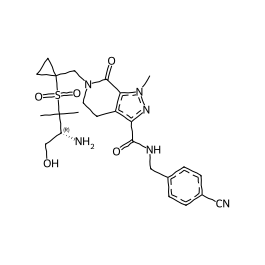 Cn1nc(C(=O)NCc2ccc(C#N)cc2)c2c1C(=O)N(CC1(S(=O)(=O)C(C)(C)[C@H](N)CO)CC1)CC2